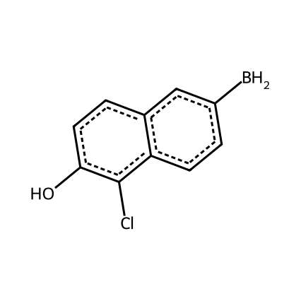 Bc1ccc2c(Cl)c(O)ccc2c1